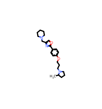 CC1CCCN1CCCOc1ccc(-c2nc(CN3CCCCC3)co2)cc1